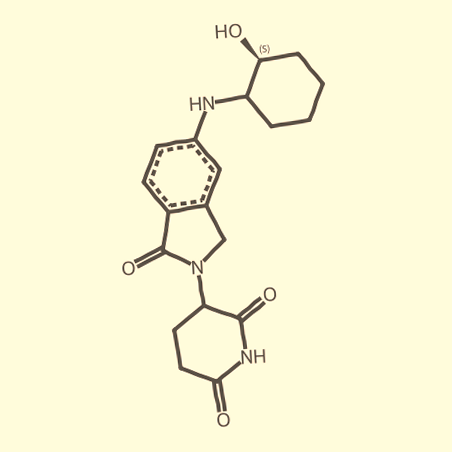 O=C1CCC(N2Cc3cc(NC4CCCC[C@@H]4O)ccc3C2=O)C(=O)N1